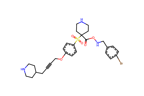 O=C(ONCc1ccc(Br)cc1)C1(S(=O)(=O)c2ccc(OCC#CCC3CCNCC3)cc2)CCNCC1